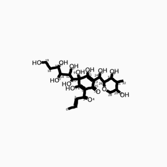 C/C=C/C(=O)C1=C(O)C(O)(C(O)C(O)C(O)C(O)CCO)C(O)=C(C(O)C2OCC(O)C(C)C2O)C1=O